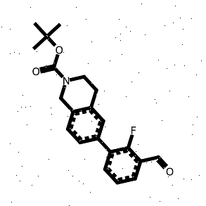 CC(C)(C)OC(=O)N1CCc2cc(-c3cccc(C=O)c3F)ccc2C1